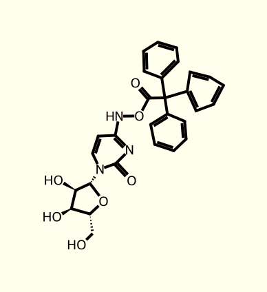 O=C(ONc1ccn([C@@H]2O[C@H](CO)[C@@H](O)[C@H]2O)c(=O)n1)C(c1ccccc1)(c1ccccc1)c1ccccc1